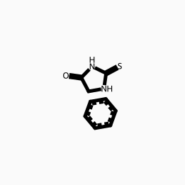 O=C1CNC(=S)N1.c1ccccc1